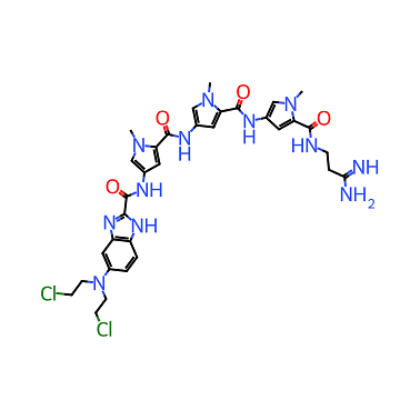 Cn1cc(NC(=O)c2cc(NC(=O)c3cc(NC(=O)c4nc5cc(N(CCCl)CCCl)ccc5[nH]4)cn3C)cn2C)cc1C(=O)NCCC(=N)N